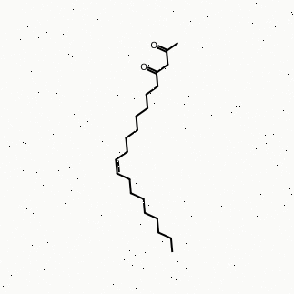 CCCCCCCC/C=C\CCCCCCCC(=O)CC(C)=O